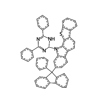 c1ccc(C2=NC(n3c4cc(C5(c6ccccc6)c6ccccc6-c6ccccc65)ccc4c4ccc5c6ccccc6sc5c43)NC(c3ccccc3)=N2)cc1